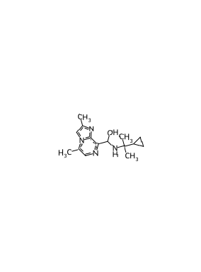 Cc1cn2c(C)cnc(C(O)NC(C)(C)C3CC3)c2n1